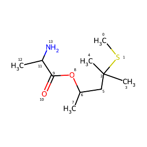 CSC(C)(C)CC(C)OC(=O)C(C)N